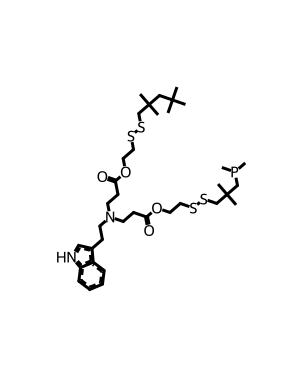 CP(C)CC(C)(C)CSSCCOC(=O)CCN(CCC(=O)OCCSSCC(C)(C)CC(C)(C)C)CCc1c[nH]c2ccccc12